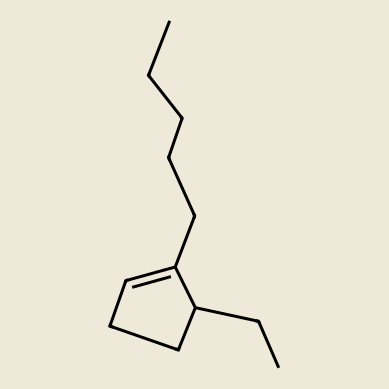 CCCCCC1=CCCC1CC